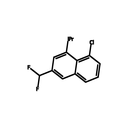 CC(C)c1cc(C(F)F)cc2cccc(Cl)c12